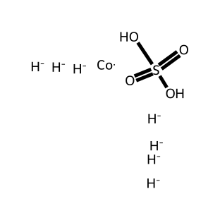 O=S(=O)(O)O.[Co].[H-].[H-].[H-].[H-].[H-].[H-].[H-]